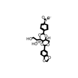 O=[N+]([O-])c1ccc(C2O[C@H]([C@H](O)CO)[C@@H]3OC(c4ccc5c(c4)OCO5)OC[C@@H]3O2)cc1